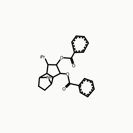 CC(C)C1C(OC(=O)c2ccccc2)C(OC(=O)c2ccccc2)C2C3CCC(N3)C12